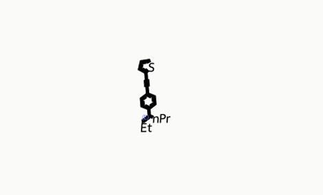 CC/C=C(\CCC)c1ccc(C#Cc2cccs2)cc1